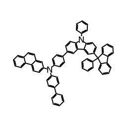 c1ccc(-c2ccc(N(c3ccc(-c4ccc5c(c4)c4cc(C6(c7ccccc7)c7ccccc7-c7ccccc76)ccc4n5-c4ccccc4)cc3)c3ccc4c(ccc5ccccc54)c3)cc2)cc1